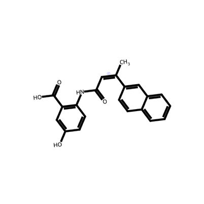 C/C(=C/C(=O)Nc1ccc(O)cc1C(=O)O)c1ccc2ccccc2c1